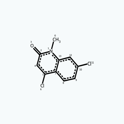 Cn1c(=O)cc(Cl)c2ccc(Cl)cc21